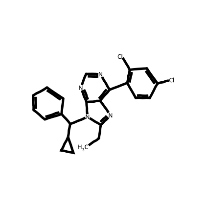 CCc1nc2c(-c3ccc(Cl)cc3Cl)ncnc2n1C(c1ccccc1)C1CC1